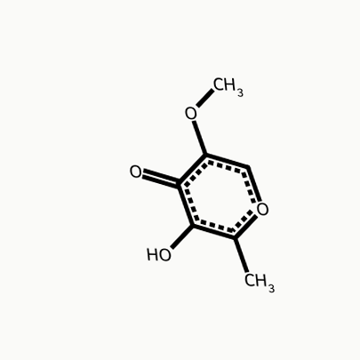 COc1coc(C)c(O)c1=O